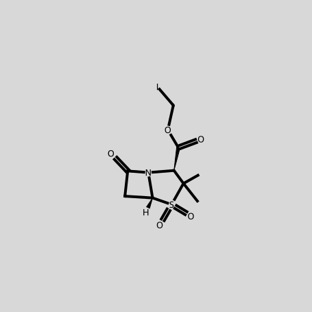 CC1(C)[C@H](C(=O)OCI)N2C(=O)C[C@H]2S1(=O)=O